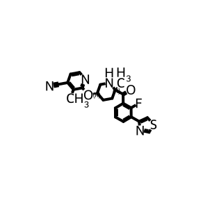 Cc1c(C#N)ccnc1O[C@@H]1CC[C@](C)(C(=O)c2cccc(-c3cscn3)c2F)NC1